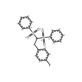 Cc1ccc(C[C](S(=O)(=O)c2ccccc2)S(=O)(=O)c2ccccc2)cc1